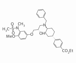 CCOC(=O)c1ccc([C@H]2CC[C@H](N(Cc3ccccc3)C[C@H](O)COc3ccc(OC)c(N(C)S(C)(=O)=O)c3)CC2)cc1